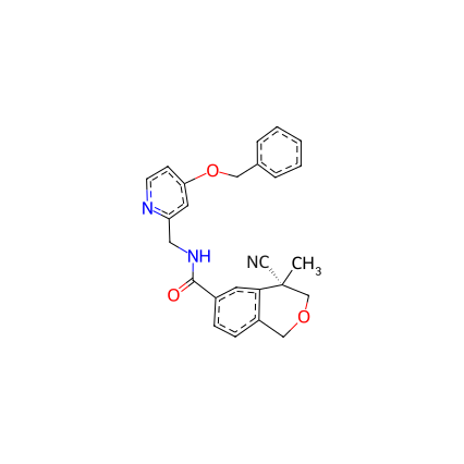 C[C@@]1(C#N)COCc2ccc(C(=O)NCc3cc(OCc4ccccc4)ccn3)cc21